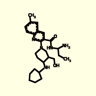 CCC(N)NC(=O)c1cc2cc(C)ccc2nc1N1CCC(NC2CCCCC2)C(CO)C1